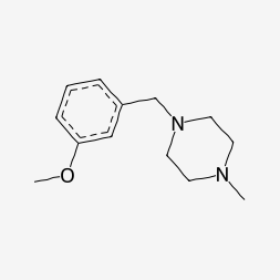 COc1cccc(CN2CCN(C)CC2)c1